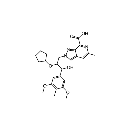 COc1cc(C(O)C(Cn2cc3cc(C)nc(C(=O)O)c3n2)OC2CCCC2)cc(OC)c1C